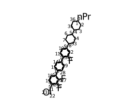 CCCC1CCC(C2CCC(c3ccc(-c4ccc(-c5ccc(C6CO6)c(F)c5F)cc4)c(F)c3)CC2)CC1